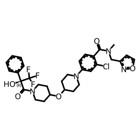 CN(Cc1ccon1)C(=O)c1ccc(N2CCC(OC3CCN(C(=O)[C@](O)(c4ccccc4)C(F)(F)F)CC3)CC2)cc1Cl